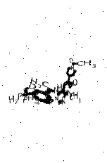 CC(=O)N1CC=C(c2cc3c(N[C@H](C)c4cccc5c4OCC5(P)P)ncnc3n(C)c2=O)CC1